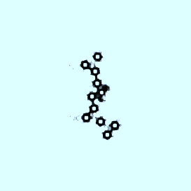 N#Cc1ccc2c(c1)c1cc(-c3ccc4c(c3)Oc3ccc(-c5ccc6c(c5)c5cc(C#N)ccc5n6-c5ccc(-n6c7ccccc7c7ccccc76)cc5)cc3C43c4cccnc4-c4ncccc43)ccc1n2-c1ccccc1